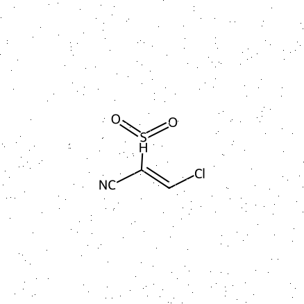 N#CC(=CCl)[SH](=O)=O